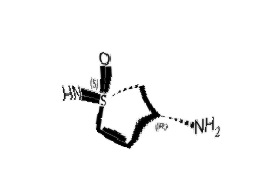 N=[S@@]1(=O)C=C[C@@H](N)C1